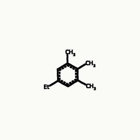 [CH2]Cc1cc(C)c(C)c(C)c1